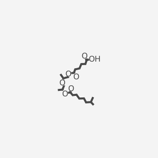 CC(C)CCCCCC(=O)OC(C)COC(C)COC(=O)CCCCC(=O)O